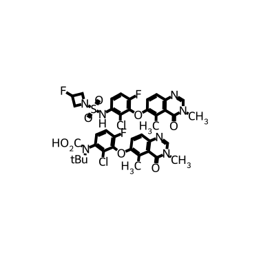 Cc1c(Oc2c(F)ccc(N(C(=O)O)C(C)(C)C)c2Cl)ccc2ncn(C)c(=O)c12.Cc1c(Oc2c(F)ccc(NS(=O)(=O)N3CC(F)C3)c2Cl)ccc2ncn(C)c(=O)c12